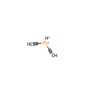 C#CPC#C.[H+]